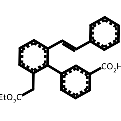 CCOC(=O)Cc1cccc(C=Cc2ccccc2)c1-c1cccc(C(=O)O)c1